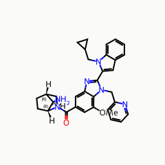 COc1cc(C(=O)N2C[C@H]3CC[C@@H]2[C@@H]3N)cc2nc(-c3cc4ccccc4n3CC3CC3)n(Cc3ccccn3)c12